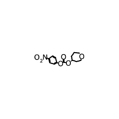 O=C(Oc1ccc([N+](=O)[O-])cc1)O[C@H]1CCCOCC1